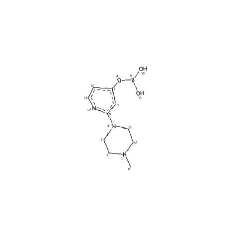 CN1CCN(c2cc(OB(O)O)ccn2)CC1